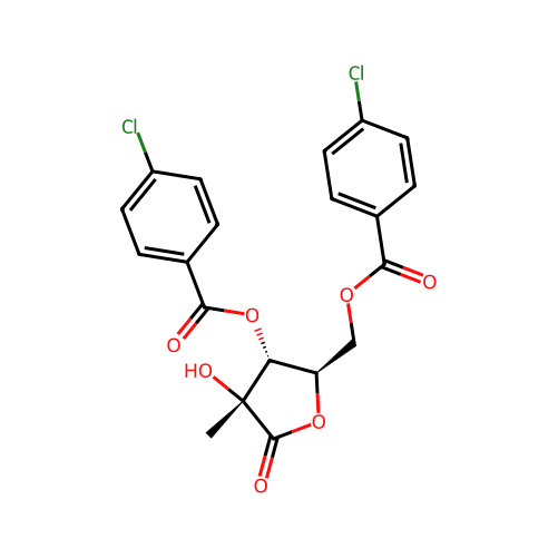 C[C@]1(O)C(=O)O[C@H](COC(=O)c2ccc(Cl)cc2)[C@H]1OC(=O)c1ccc(Cl)cc1